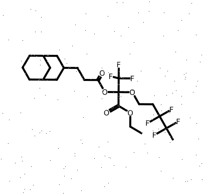 CCOC(=O)C(OCCC(F)(F)C(C)(F)F)(OC(=O)CCC1CC2CCCC(C2)C1)C(F)(F)F